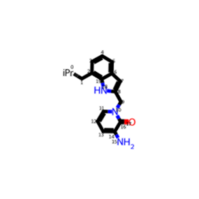 CC(C)Cc1cccc2cc(Cn3cccc(N)c3=O)[nH]c12